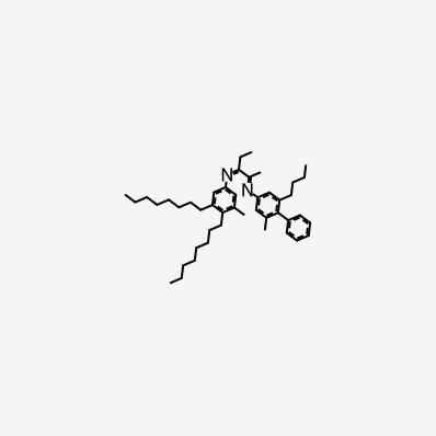 CCCCCCCCc1cc(N=C(CC)C(C)=Nc2cc(C)c(-c3ccccc3)c(CCCC)c2)cc(C)c1CCCCCCCC